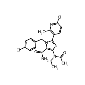 CCN(C(C)=O)c1nc(-c2ccc(Cl)nc2C)n(Cc2ccc(Cl)cc2)c1C(N)=O